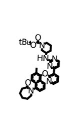 Cc1ccc2c(N3CCCCCC3=O)cccc2c1Oc1ncccc1-c1ccnc(NC2CCCN(C(=O)OC(C)(C)C)C2)n1